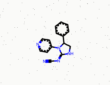 N#CN=C1NCC(c2ccccc2)N1c1ccncc1